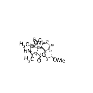 COCCOC(=O)C1=C(C)NC(C)=C(C#N)C1c1ccccc1C(F)(F)F